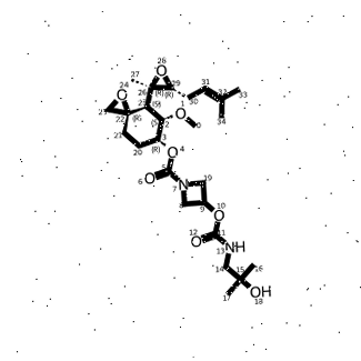 CO[C@@H]1[C@H](OC(=O)N2CC(OC(=O)NCC(C)(C)O)C2)CC[C@]2(CO2)[C@H]1[C@@]1(C)O[C@@H]1CC=C(C)C